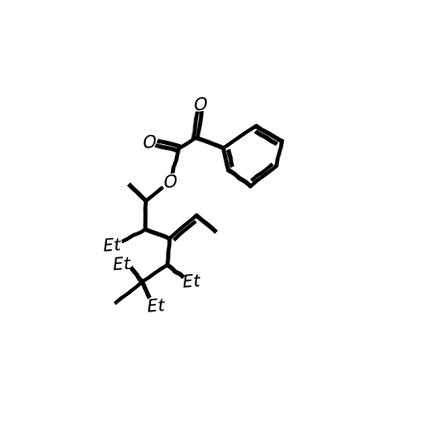 CC=C(C(CC)C(C)OC(=O)C(=O)c1ccccc1)C(CC)C(C)(CC)CC